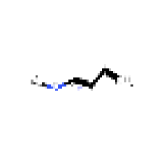 C=C/C=C/NC(C)=O